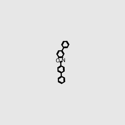 c1ccc(-c2ccc(-c3nc4cc(-c5ccccc5)ccc4o3)cc2)cc1